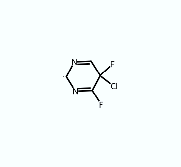 FC1=N[CH]N=CC1(F)Cl